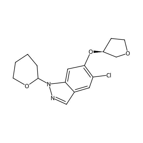 Clc1cc2cnn(C3CCCCO3)c2cc1O[C@H]1CCOC1